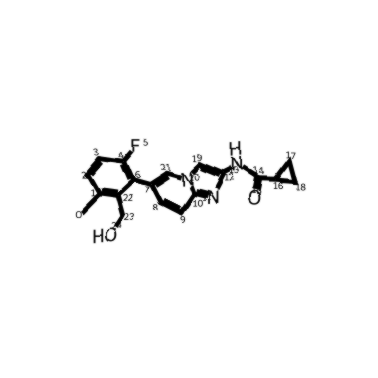 Cc1ccc(F)c(-c2ccc3nc(NC(=O)C4CC4)cn3c2)c1CO